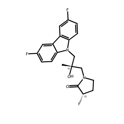 C[C@](O)(CN1CC[C@H](F)C1=O)Cn1c2ccc(F)cc2c2cc(F)ccc21